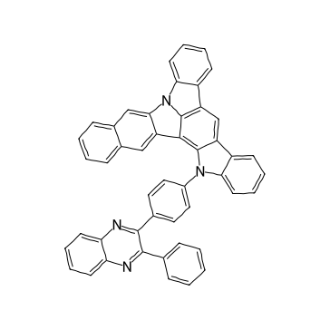 c1ccc(-c2nc3ccccc3nc2-c2ccc(-n3c4ccccc4c4cc5c6ccccc6n6c7cc8ccccc8cc7c(c43)c56)cc2)cc1